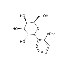 CCCCCCCCCCc1ccccc1[C]1O[C@H](CO)[C@H](O)[C@H](O)[C@H]1O